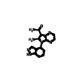 NC(=O)c1c(N)n(-c2cccc3[nH]ncc23)c2nccnc12